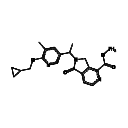 Cc1cc(C(C)N2Cc3c(ccnc3C(=O)OP)C2=O)cnc1OCC1CC1